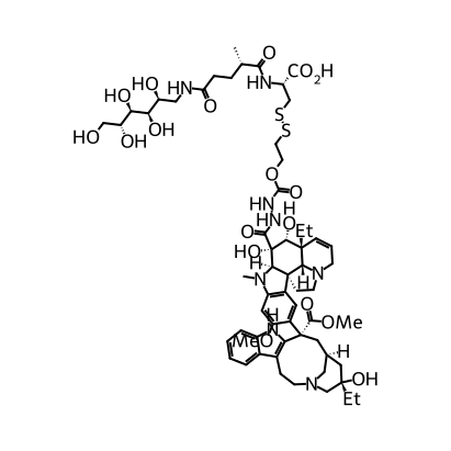 CC[C@]1(O)C[C@H]2CN(CCc3c([nH]c4ccccc34)[C@@](C(=O)OC)(c3cc4c(cc3OC)N(C)[C@H]3[C@@](O)(C(=O)NNC(=O)OCCSSC[C@H](NC(=O)[C@@H](C)CCC(=O)NC[C@H](O)[C@@H](O)[C@H](O)[C@H](O)CO)C(=O)O)[C@H](O)[C@]5(CC)C=CCN6CC[C@]43[C@@H]65)C2)C1